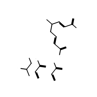 C=CC(=O)O.C=CC(=O)O.CC(C=CC(=O)O)CC=CC(=O)O.CC(O)CO